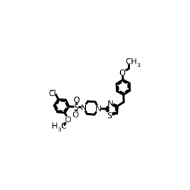 CCOc1ccc(Cc2csc(N3CCN(S(=O)(=O)c4cc(Cl)ccc4OC)CC3)n2)cc1